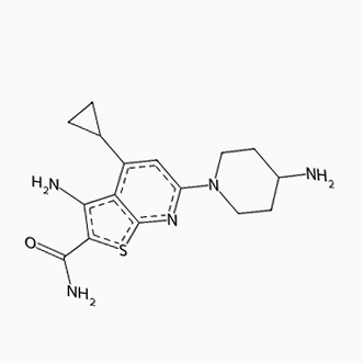 NC(=O)c1sc2nc(N3CCC(N)CC3)cc(C3CC3)c2c1N